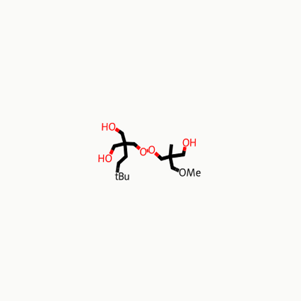 COCC(C)(CO)COOCC(CO)(CO)CCC(C)(C)C